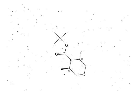 C[C@@H]1COC[C@@H](C)N1C(=O)OC(C)(C)C